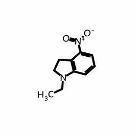 CCN1CCc2c1cccc2[N+](=O)[O-]